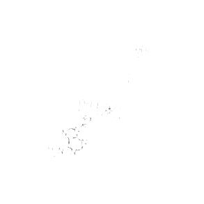 CCCCCCCCCCCCCCCCCCOP(=O)(O)OC[C@H]1C[C@@H](n2cnc3c(N)ncnc32)[C@H]1CO